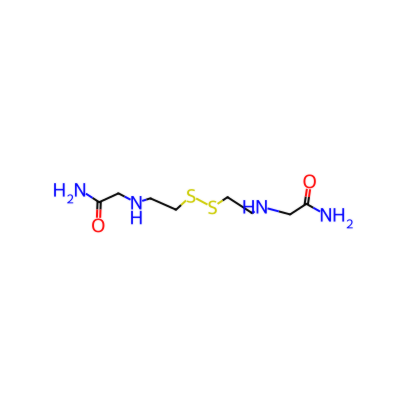 NC(=O)CNCCSSCCNCC(N)=O